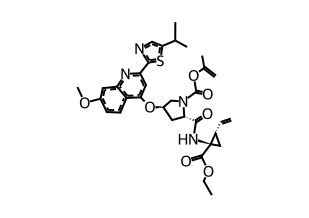 C=C[C@@H]1C[C@]1(NC(=O)[C@@H]1C[C@@H](Oc2cc(-c3ncc(C(C)C)s3)nc3cc(OC)ccc23)CN1C(=O)OC(=C)C)C(=O)OCC